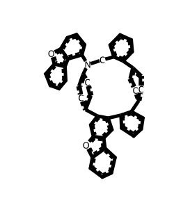 c1ccc2c(c1)CN(c1cccc3oc4ccccc4c13)c1ccc(cc1)-c1cc3oc4ccccc4c3cc1-c1ccccc1-c1ccc-2cc1